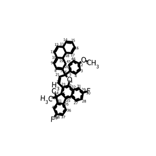 COc1ccc(C2(C3=CC=C4C=CC5C=CC=CC5C4C3)C=Cc3c4c(c5ccc(F)cc5c3O2)-c2ccc(F)cc2C4(C)C)cc1